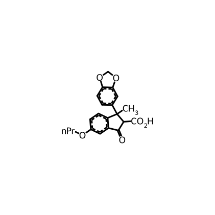 CCCOc1ccc2c(c1)C(=O)C(C(=O)O)C2(C)c1ccc2c(c1)OCO2